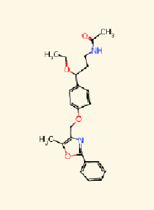 CCOC(CCNC(C)=O)c1ccc(OCc2nc(-c3ccccc3)oc2C)cc1